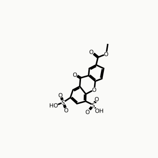 COC(=O)c1ccc2oc3c(S(=O)(=O)O)cc(S(=O)(=O)O)cc3c(=O)c2c1